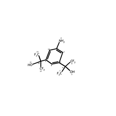 Nc1cc(C(O)(C(F)(F)F)C(F)(F)F)cc(C(O)(C(F)(F)F)C(F)(F)F)c1